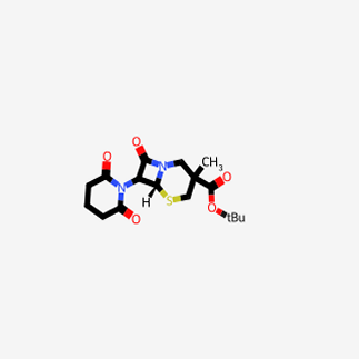 CC(C)(C)OC(=O)C1(C)CS[C@@H]2C(N3C(=O)CCCC3=O)C(=O)N2C1